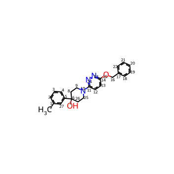 Cc1cccc(C2(O)CCN(c3ccc(OCc4ccccc4)nn3)CC2)c1